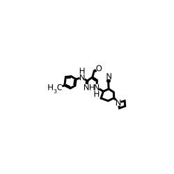 Cc1ccc(NC(=N)/C(C=O)=C\NC2CCC(N3CCC3)CC2C#N)cc1